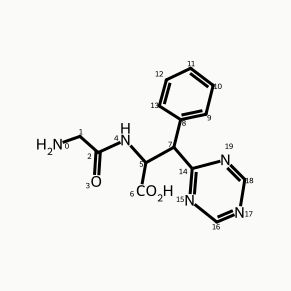 NCC(=O)NC(C(=O)O)C(c1ccccc1)c1ncncn1